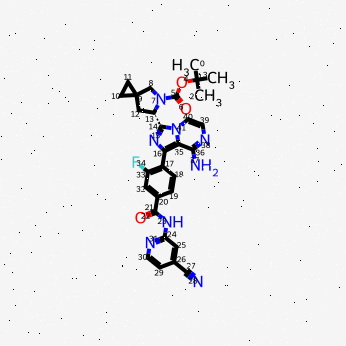 CC(C)(C)OC(=O)N1CC2(CC2)C[C@H]1c1nc(-c2ccc(C(=O)Nc3cc(C#N)ccn3)cc2F)c2c(N)nccn12